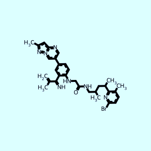 C=C(C)C(=N)c1cc(-c2cnc3cc(C)nn3c2)ccc1NCC(=O)NCC(C)CC(C)c1nc(Br)ccc1C